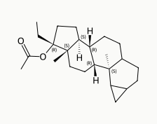 CC[C@@]1(OC(C)=O)CC[C@H]2[C@@H]3CCC4CCC5CC5[C@@]4(C)[C@@H]3CC[C@@]21C